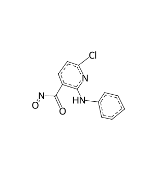 O=NC(=O)c1ccc(Cl)nc1Nc1ccccc1